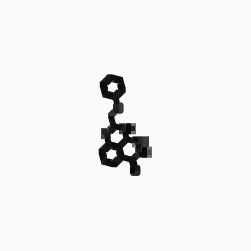 O=C1NNC2NC(COc3ccccc3)=Nc3cccc1c32